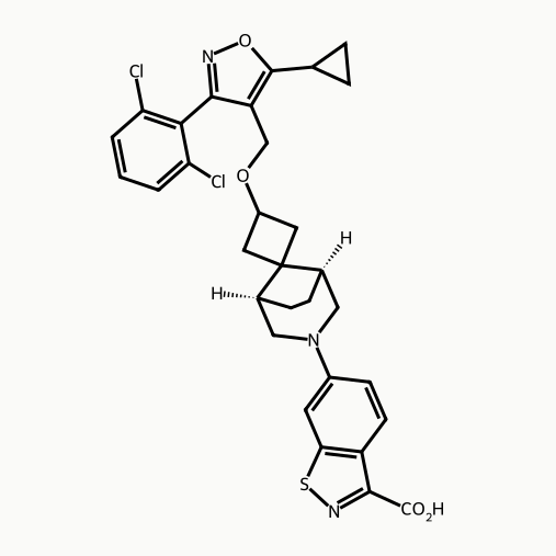 O=C(O)c1nsc2cc(N3C[C@H]4CC[C@@H](C3)C43CC(OCc4c(-c5c(Cl)cccc5Cl)noc4C4CC4)C3)ccc12